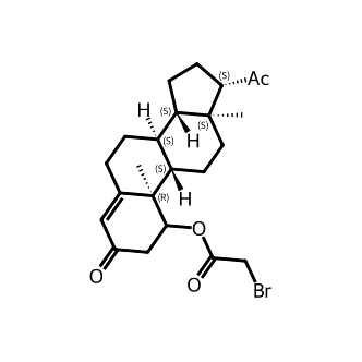 CC(=O)[C@H]1CC[C@H]2[C@@H]3CCC4=CC(=O)CC(OC(=O)CBr)[C@]4(C)[C@H]3CC[C@]12C